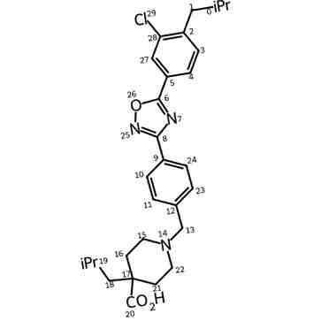 CC(C)Cc1ccc(-c2nc(-c3ccc(CN4CCC(CC(C)C)(C(=O)O)CC4)cc3)no2)cc1Cl